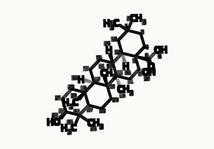 CC1(C)CC[C@]2(C(=O)O)[C@H](O)C[C@]3(C)[C@H](CC[C@@H]4[C@@]5(C)CC[C@H](O)C(C)(C)C5CC[C@]43C)[C@H]2C1